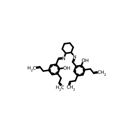 C=CCc1cc(/C=N/C2CCCCC2/N=C/c2cc(CC=C)cc(CC=C)c2O)c(O)c(CC=C)c1